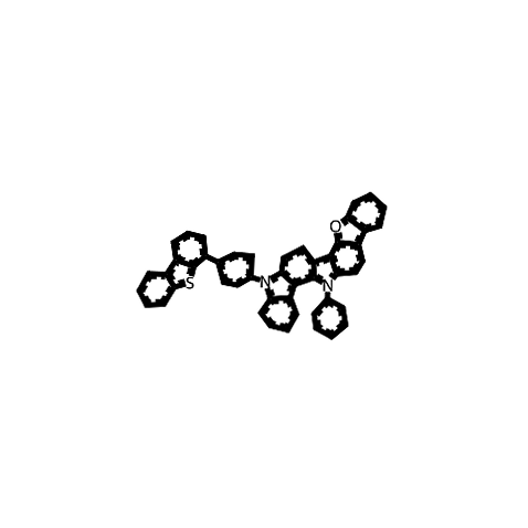 c1ccc(-n2c3ccc4c5ccccc5oc4c3c3ccc4c(c5ccccc5n4-c4ccc(-c5cccc6c5sc5ccccc56)cc4)c32)cc1